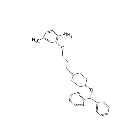 Cc1ccc(N)c(OCCCN2CCC(OC(c3ccccc3)c3ccccc3)CC2)c1